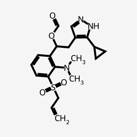 C=CCS(=O)(=O)c1cccc(C(Cc2cn[nH]c2C2CC2)OC=O)c1N(C)C